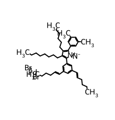 CCCCC=Cc1cc(C=CCCCC)cc(C2=C(CCCCCCCC)C(CCCCCC)=C(c3cc(C)cc(C)c3)[N+]2=[N-])c1.[Br][Pd][Br]